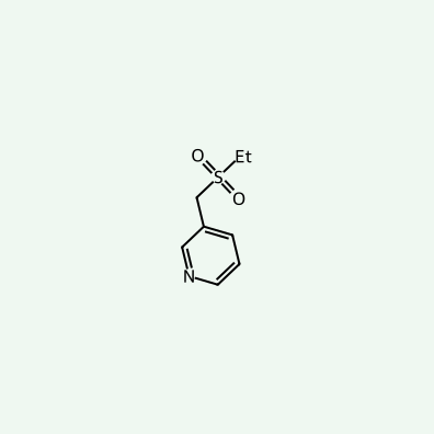 CCS(=O)(=O)Cc1cccnc1